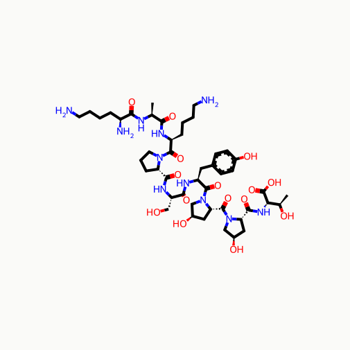 C[C@H](NC(=O)[C@@H](N)CCCCN)C(=O)N[C@@H](CCCCN)C(=O)N1CCC[C@H]1C(=O)N[C@@H](CO)C(=O)N[C@@H](Cc1ccc(O)cc1)C(=O)N1C[C@H](O)C[C@H]1C(=O)N1C[C@H](O)C[C@H]1C(=O)N[C@H](C(=O)O)[C@@H](C)O